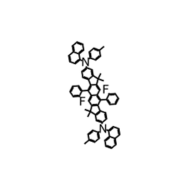 Cc1ccc(N(c2ccc3c(c2)C(C)(C)c2cc4c(-c5ccccc5F)c5c(cc4c(-c4ccccc4F)c2-3)C(C)(C)c2cc(N(c3ccc(C)cc3)c3cccc4ccccc34)ccc2-5)c2cccc3ccccc23)cc1